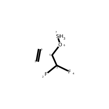 C=C.FC(F)CO[SiH3]